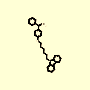 C=C(c1ccccc1)c1ccc(OCCCCCCn2c3ccccc3c3ccccc32)cc1